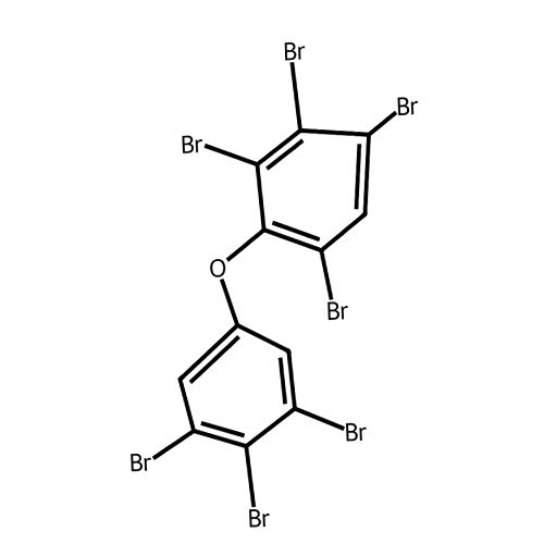 Brc1cc(Oc2c(Br)cc(Br)c(Br)c2Br)cc(Br)c1Br